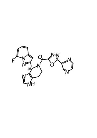 O=C(c1nnc(-c2cnccn2)o1)N1CCc2[nH]cnc2[C@@H]1c1cc2cccc(F)n2n1